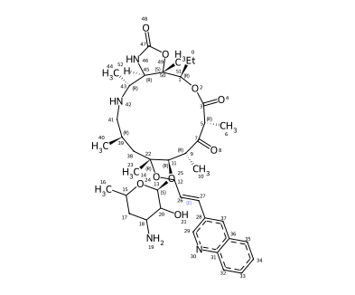 CC[C@H]1OC(=O)[C@H](C)C(=O)[C@H](C)[C@@H](O[C@@H]2OC(C)CC(N)C2O)[C@](C)(OC/C=C/c2cnc3ccccc3c2)C[C@@H](C)CN[C@H](C)[C@H]2NC(=O)O[C@@]21C